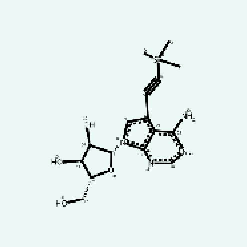 C[Si](C)(C)C#Cc1cn([C@@H]2O[C@H](CO)[C@@H](O)[C@H]2O)c2ncnc(N)c12